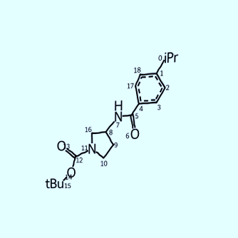 CC(C)c1ccc(C(=O)NC2CCN(C(=O)OC(C)(C)C)C2)cc1